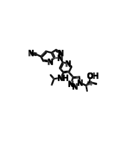 CC(C)Nc1cc(-n2ncc3cc(C#N)cnc32)ncc1-c1cn(C(C)[C@H](C)O)nn1